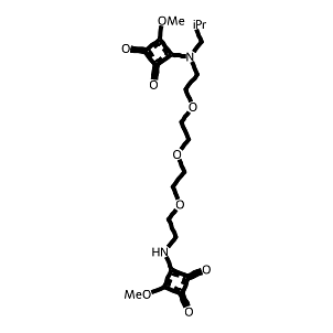 COc1c(NCCOCCOCCOCCN(CC(C)C)c2c(OC)c(=O)c2=O)c(=O)c1=O